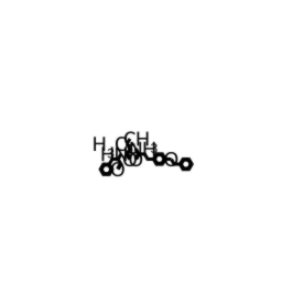 CC(C)[C@H](NC(=O)CCc1ccc(OCc2ccccc2)cc1)C(=O)NC(C=O)Cc1ccccc1